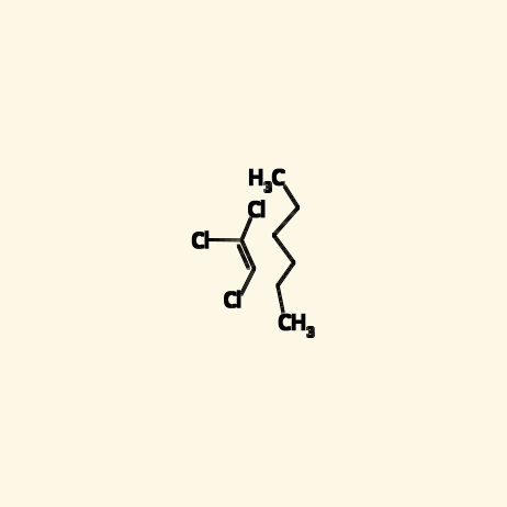 CCCCCC.ClC=C(Cl)Cl